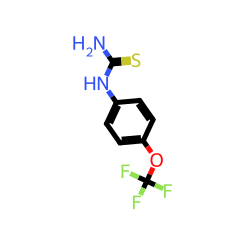 NC(=S)Nc1ccc(OC(F)(F)F)cc1